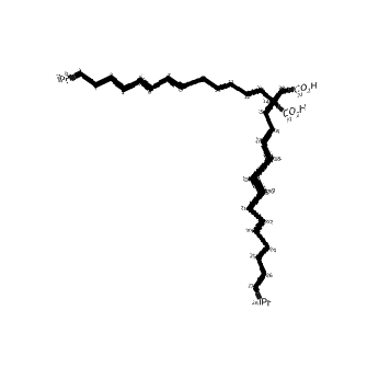 CC(C)CCCCCCCCCCCCCC(CCCCCCCCCCCCCC(C)C)(CC(=O)O)C(=O)O